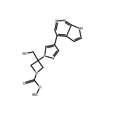 CC(C)(C)OC(=O)N1CC(CC#N)(n2cc(-c3cnnc4[nH]ccc34)cn2)C1